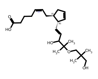 CC(C)(CO)COC(C)(C)C(O)C=C[C@H]1C=CC[C@@H]1C/C=C\CCCC(=O)O